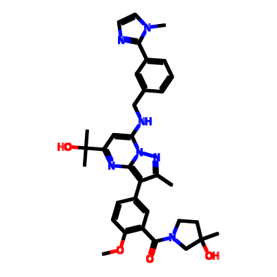 COc1ccc(-c2c(C)nn3c(NCc4cccc(-c5nccn5C)c4)cc(C(C)(C)O)nc23)cc1C(=O)N1CCC(C)(O)C1